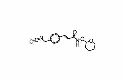 O=C=NCc1ccc(/C=C/C(=O)NOC2CCCCO2)cc1